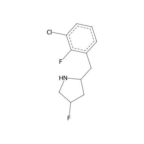 Fc1c(Cl)cccc1CC1CC(F)CN1